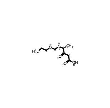 CCCOCN[C@@H](C)C(=O)CC(=O)O